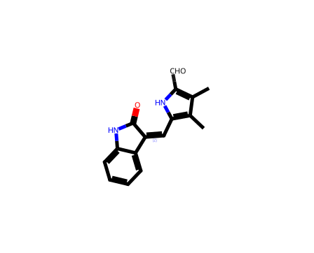 Cc1c(C=O)[nH]c(/C=C2\C(=O)Nc3ccccc32)c1C